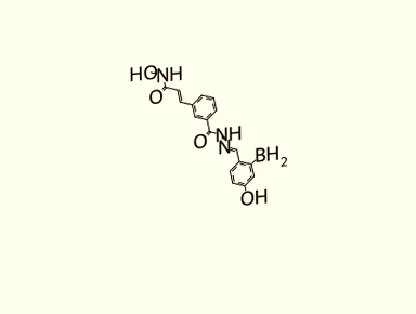 Bc1cc(O)ccc1/C=N/NC(=O)c1cccc(/C=C/C(=O)NO)c1